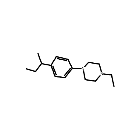 CCC(C)c1ccc(N2CCN(CC)CC2)cc1